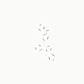 Cc1cc(C)c2oc3cc(-n4c5ccccc5c5c6c(ccc54)-c4ccccc4C6(C)C)ccc3c(=O)c2c1